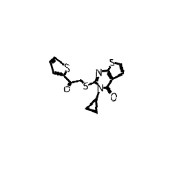 O=C(CSc1nc2sccc2c(=O)n1C1CC1)c1cccs1